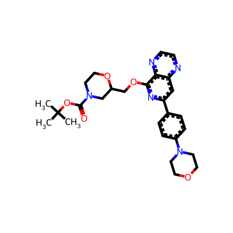 CC(C)(C)OC(=O)N1CCOC(COc2nc(-c3ccc(N4CCOCC4)cc3)cc3nccnc23)C1